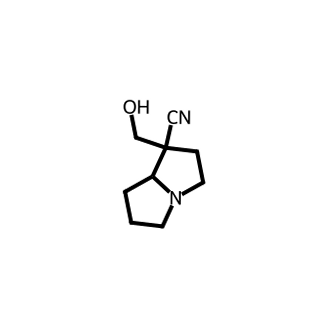 N#CC1(CO)CCN2CCCC21